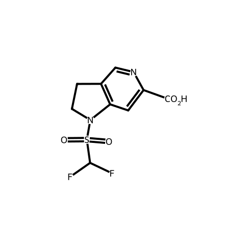 O=C(O)c1cc2c(cn1)CCN2S(=O)(=O)C(F)F